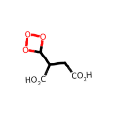 O=C(O)CC(C(=O)O)C1OOO1